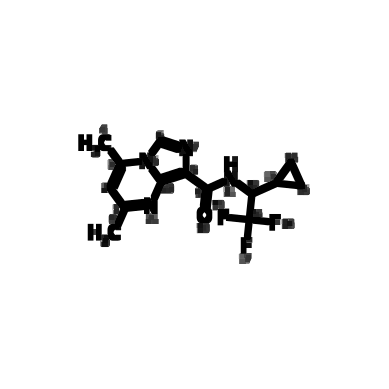 Cc1cc(C)n2cnc(C(=O)NC(C3CC3)C(F)(F)F)c2n1